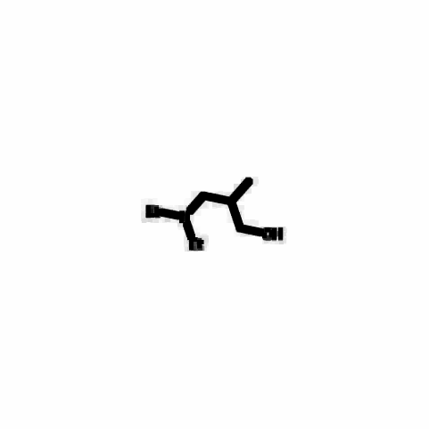 CCN(CC)CC(C)CO